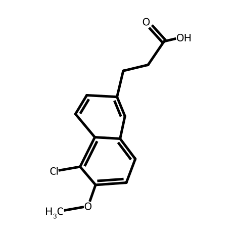 COc1ccc2cc(CCC(=O)O)ccc2c1Cl